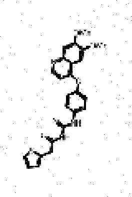 COc1cc2nccc(Oc3ccc(NC(=S)NC(=O)Cc4cccs4)cc3)c2cc1OC